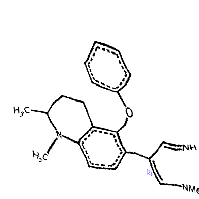 CN/C=C(\C=N)c1ccc2c(c1Oc1ccccc1)CCC(C)N2C